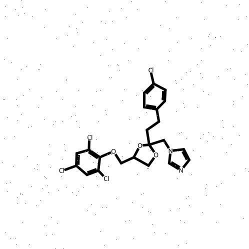 Clc1ccc(CCC2(Cn3ccnc3)OCC(COc3c(Cl)cc(Cl)cc3Cl)O2)cc1